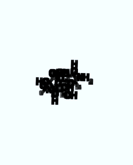 CC(=O)NC1C(O)CC(OCC2OC(C)C(N)C(O)C2O)(C(=O)O)OC1[C@H](O)[C@H](O)CO